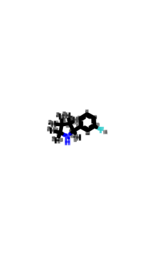 [2H]C1([2H])NC([2H])(c2cccc(F)c2)C([2H])([2H])C1([2H])[2H]